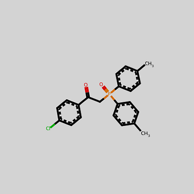 Cc1ccc(P(=O)(CC(=O)c2ccc(Cl)cc2)c2ccc(C)cc2)cc1